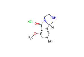 CCCc1cc(OC(F)(F)F)c2c(c1)[C@H]1CNCCN1C2=O.Cl